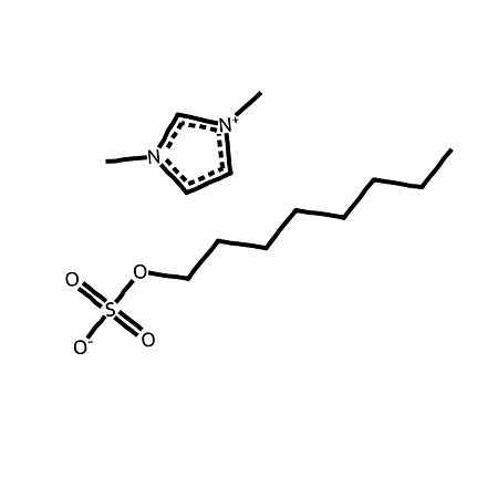 CCCCCCCCOS(=O)(=O)[O-].Cn1cc[n+](C)c1